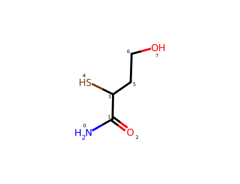 NC(=O)C(S)CCO